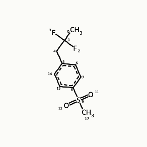 CC(F)(F)Cc1ccc(S(C)(=O)=O)cc1